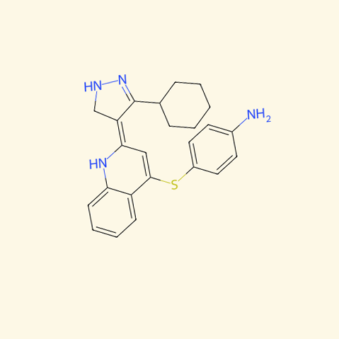 Nc1ccc(SC2=CC(=C3CNN=C3C3CCCCC3)Nc3ccccc32)cc1